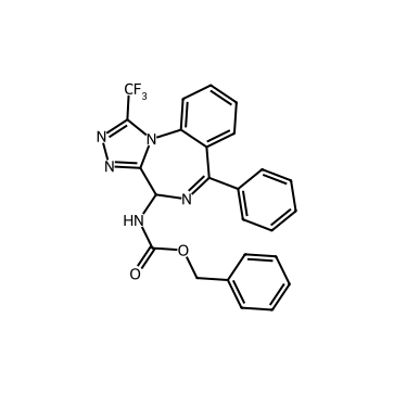 O=C(NC1N=C(c2ccccc2)c2ccccc2-n2c1nnc2C(F)(F)F)OCc1ccccc1